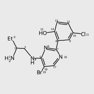 CCC(N)CNc1nc(-c2cc(Cl)ccc2O)ncc1Br